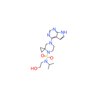 CC(C)N(CCO)S(=O)(=O)N1CCN(c2ncnc3[nH]ccc23)CC12CC2